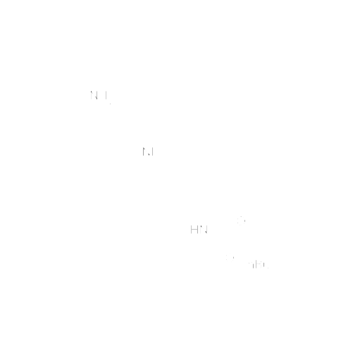 CCCCOC(=O)NCCCCNCCCN